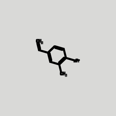 C=Cc1ccc(CCC)c(C)c1